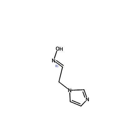 O/N=C/Cn1ccnc1